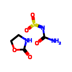 NC(=O)N=S(=O)=O.O=C1NCCO1